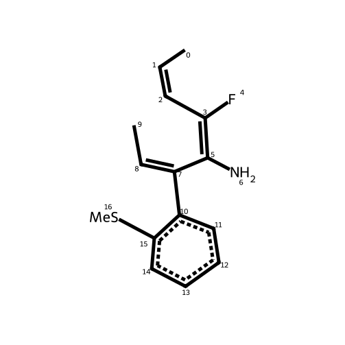 C\C=C/C(F)=C(N)\C(=C/C)c1ccccc1SC